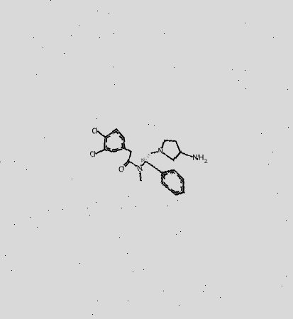 CN(C(=O)Cc1ccc(Cl)c(Cl)c1)[C@H](CN1CCC(N)C1)c1ccccc1